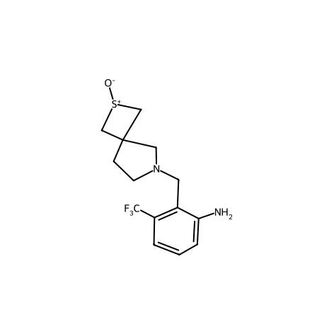 Nc1cccc(C(F)(F)F)c1CN1CCC2(C1)C[S+]([O-])C2